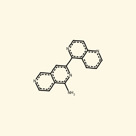 Nc1nc(-c2nccc3ncccc23)cc2cnccc12